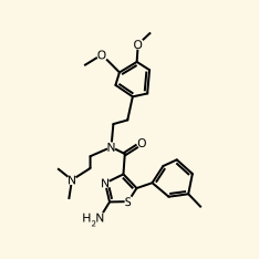 COc1ccc(CCN(CCN(C)C)C(=O)c2nc(N)sc2-c2cccc(C)c2)cc1OC